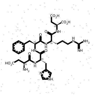 N=C(N)NCCC[C@H](NC(=O)[C@H](Cc1ccccc1)NC(=O)[C@H](Cc1c[nH]cn1)NC(=O)[C@@H](N)CC(=O)O)C(=O)N[C@@H](CC(=O)O)C(=O)O